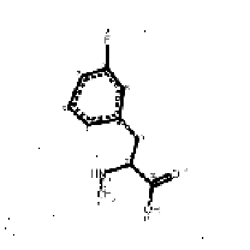 CNC(Cc1cccc(F)c1)C(=O)O